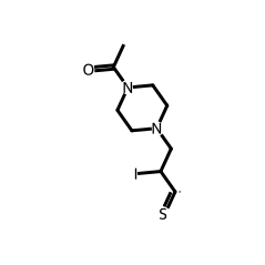 CC(=O)N1CCN(CC(I)[C]=S)CC1